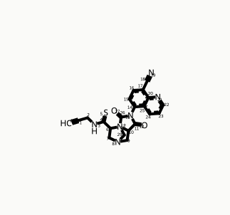 C#CCNC(=S)C1CN2CC3C(=O)N(c4ccc(C#N)c5ncccc45)C(=O)[N+]31C2